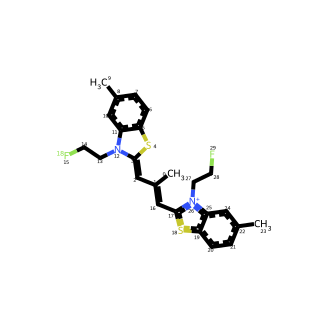 CC(/C=C1\Sc2ccc(C)cc2N1CC[18F])=C\c1sc2ccc(C)cc2[n+]1CCF